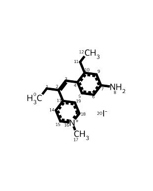 CCC(=Cc1ccc(N)cc1CC)c1cc[n+](C)cc1.[I-]